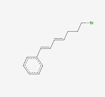 BrCCCC=CC=Cc1ccccc1